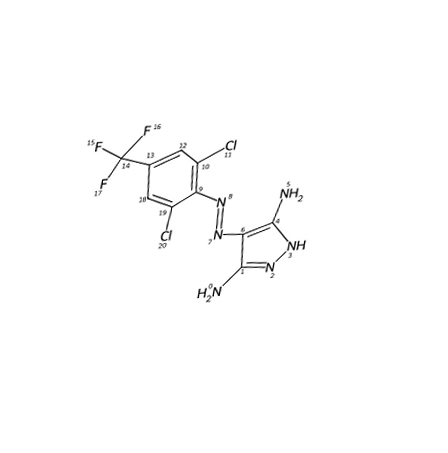 Nc1n[nH]c(N)c1N=Nc1c(Cl)cc(C(F)(F)F)cc1Cl